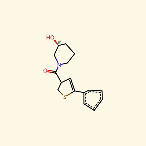 O=C(C1C=C(c2ccccc2)SC1)N1CCC[C@H](O)C1